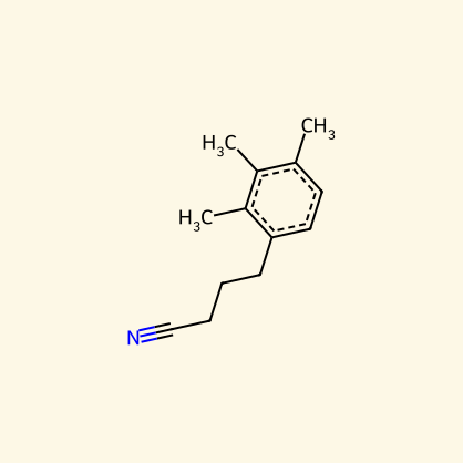 Cc1ccc(CCCC#N)c(C)c1C